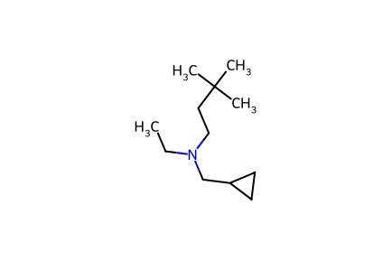 CCN(CCC(C)(C)C)CC1CC1